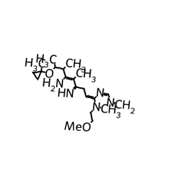 C=N/C=N\C(=C/CC(=N)/C(C)=C(\N)C(C)C(C)OC1(C)CC1)N(C)CCOC